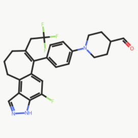 O=CC1CCN(c2ccc(C3=C(CC(F)(F)F)CCCc4c3cc(F)c3[nH]ncc43)cc2)CC1